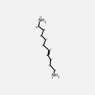 NCCCC=CCCCCCN